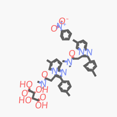 Cc1ccc(-c2nc3ccc(C)cn3c2CC(=O)N(C)C)cc1.Cc1ccc(-c2nc3ccc(C)cn3c2CC(=O)N(C)C)cc1.O=C(O)C(O)C(O)C(=O)O.O=[N+]([O-])c1ccccc1